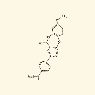 CSNc1ccc(-c2ccc3c(c2)C(=O)Nc2cc(OC(F)(F)F)ccc2O3)cc1